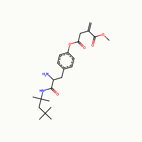 C=C(CC(=O)Oc1ccc(CC(N)C(=O)NC(C)(C)CC(C)(C)C)cc1)C(=O)OC